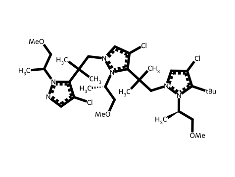 COCC(C)n1ncc(Cl)c1C(C)(C)C[n+]1cc(Cl)c(C(C)(C)C[n+]2cc(Cl)c(C(C)(C)C)n2[C@H](C)COC)n1[C@@H](C)COC